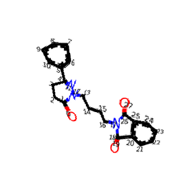 O=C1CCC(c2ccccc2)=NN1CCCCN1C(=O)c2ccccc2C1=O